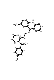 CSc1ccc2c(c1)N(CCCN1CCCCC1C(=O)c1ccc(Cl)cc1)c1ccccc1S2